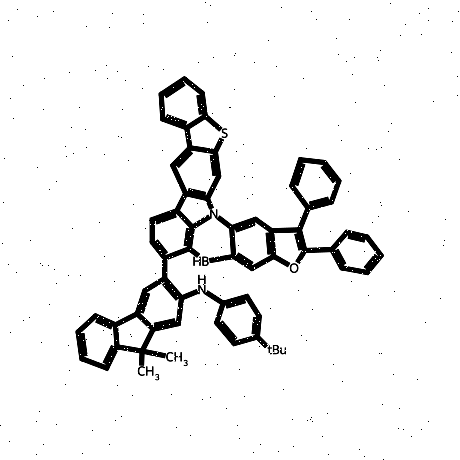 CC(C)(C)c1ccc(Nc2cc3c(cc2-c2ccc4c5cc6c(cc5n5c4c2Bc2cc4oc(-c7ccccc7)c(-c7ccccc7)c4cc2-5)sc2ccccc26)-c2ccccc2C3(C)C)cc1